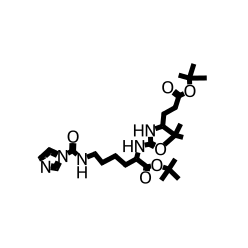 CC(C)(C)OC(=O)CCC(NC(=O)NC(CCCCNC(=O)n1ccnc1)C(=O)OC(C)(C)C)C(C)(C)C